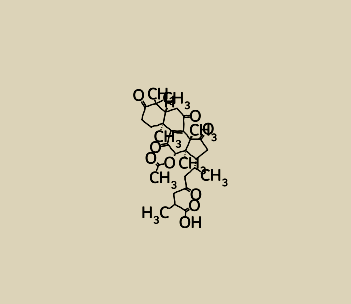 CC(=O)O[C@@H]1C(=O)C2=C(C(=O)C[C@H]3C(C)(C)C(=O)CC[C@]23C)[C@]2(C)C(=O)C[C@H](C(C)CC(=O)CC(C)C(=O)O)[C@@]12C